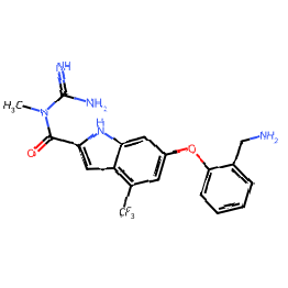 CN(C(=N)N)C(=O)c1cc2c(C(F)(F)F)cc(Oc3ccccc3CN)cc2[nH]1